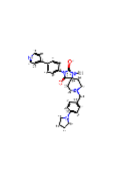 CCN1C(=O)N(c2ccc(-c3ccncc3)cc2)C(=O)C12CCN(Cc1ccc(N3CCCC3)cc1)CC2